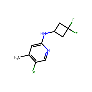 FC1(F)CC(Nc2cc(C(F)(F)F)c(Br)cn2)C1